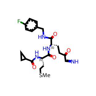 CSCC[C@H](NC(=O)C1CC1)C(=O)N[C@@H](CCC(=O)C=N)C(=O)NCc1ccc(F)cc1